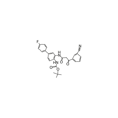 CC(C)(C)OC(=O)Nc1ccc(-c2ccc(F)cc2)cc1NC(=O)CC(=O)c1cccc(C#N)c1